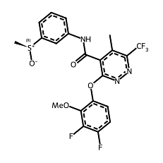 COc1c(Oc2nnc(C(F)(F)F)c(C)c2C(=O)Nc2cccc([S@+](C)[O-])c2)ccc(F)c1F